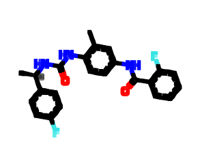 Cc1cc(NC(=O)c2ccccc2F)ccc1NC(=O)N[C@H](C)c1ccc(F)cc1